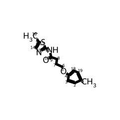 Cc1ccc(OCCCC(=O)Nc2ncc(C)s2)cc1